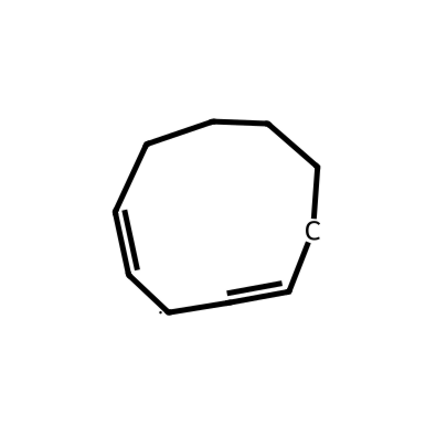 [CH]1/C=C\CCCCC/C=C/1